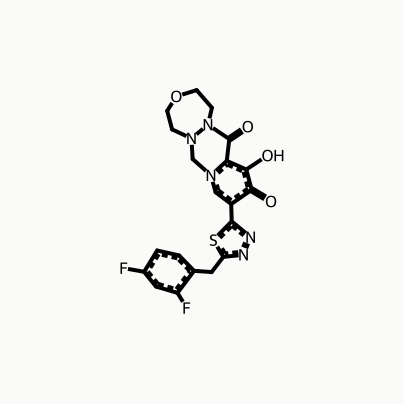 O=C1c2c(O)c(=O)c(-c3nnc(Cc4ccc(F)cc4F)s3)cn2CN2CCOCCN12